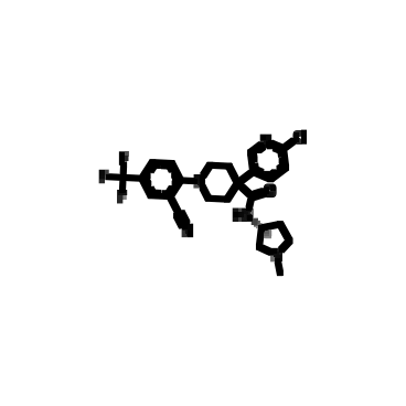 CN1CC[C@@H](NC(=O)C2(c3ccc(Cl)nc3)CCN(c3ccc(C(F)(F)F)cc3C#N)CC2)C1